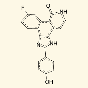 O=c1[nH]ccc2c3[nH]c(-c4ccc(O)cc4)nc3c3ccc(F)cc3c12